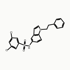 O=S(=O)(Nc1ccc2c(ccn2CCc2ccccc2)c1)c1cc(Cl)cc(Cl)c1